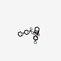 O=C(O[C@H]1CC=C2CCCC1N2S(=O)(=O)c1ccc(Cl)cc1)N1CCC(N2CCCCC2)CC1